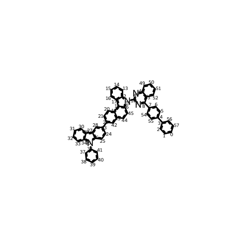 c1ccc(-c2ccc(-c3nc(-n4c5ccccc5c5c6ccc(-c7ccc8c(c7)c7ccccc7n8-c7ccccc7)cc6ccc54)nc4ccccc34)cc2)cc1